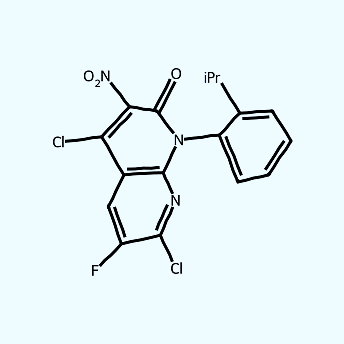 CC(C)c1ccccc1-n1c(=O)c([N+](=O)[O-])c(Cl)c2cc(F)c(Cl)nc21